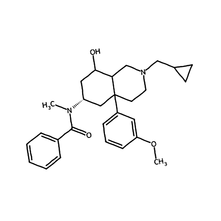 COc1cccc(C23CCN(CC4CC4)CC2C(O)C[C@@H](N(C)C(=O)c2ccccc2)C3)c1